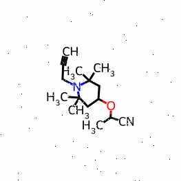 C#CCN1C(C)(C)CC(OC(C)C#N)CC1(C)C